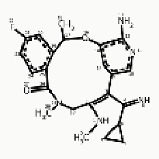 CN/C1=C(\C(=N)C2CC2)c2cnc(N)c(c2)OC(C)c2cc(F)ccc2C(=O)N(C)C1